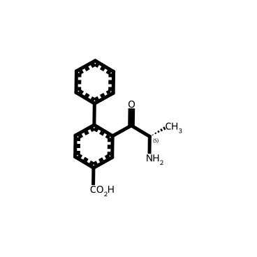 C[C@H](N)C(=O)c1cc(C(=O)O)ccc1-c1ccccc1